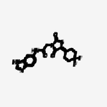 O=C(CN1C(=O)SC(=C2CCC(F)(F)CC2)C1=O)Nc1ccc2nc[nH]c2c1